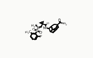 Cc1cccc(F)c1S(=O)(=O)N(C)CC1(C(=O)NC2C3CC4CC2CC(C(N)=O)(C4)C3)CC1